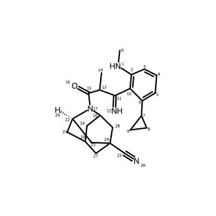 CNc1cccc(C2CC2)c1C(=N)C(C)C(=O)N1C2CC3C[C@@H]1CC(C#N)(C3)C2